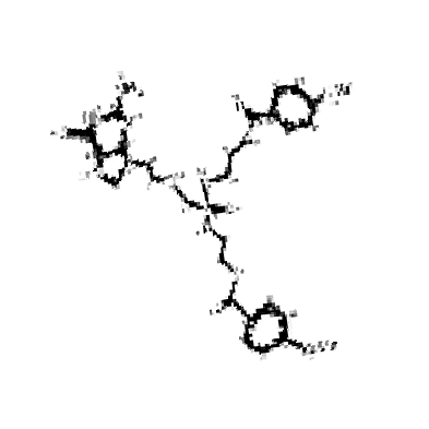 COc1ccc(C(=O)SCCOP(=O)(COCCn2cnc3c(=O)[nH]c(N)nc32)OCCSC(=O)c2ccc(OC)cc2)cc1